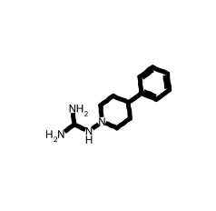 NC(N)NN1CCC(c2ccccc2)CC1